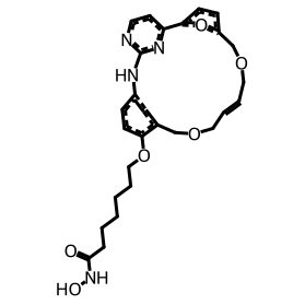 O=C(CCCCCCOc1ccc2cc1COC/C=C/COCc1ccc(o1)-c1ccnc(n1)N2)NO